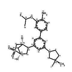 C[C@]1(F)CCN(c2nc(-c3cnc(N)c(OC(F)F)c3)cc(N3C[C@@H]4C[C@H]3CS4(=O)=O)n2)C1